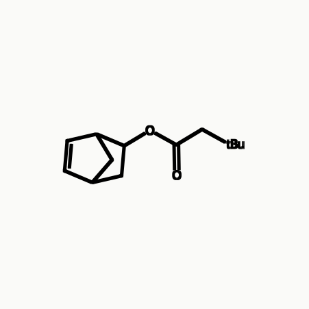 CC(C)(C)CC(=O)OC1CC2C=CC1C2